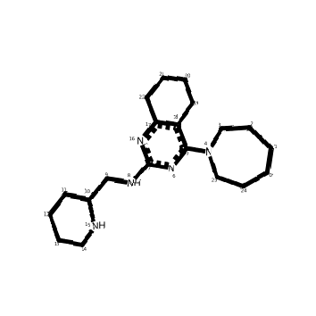 C1CCCN(c2nc(NCC3CCCCN3)nc3c2CCCC3)CC1